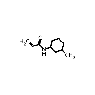 C=CC(=O)NC1CCCC(C)C1